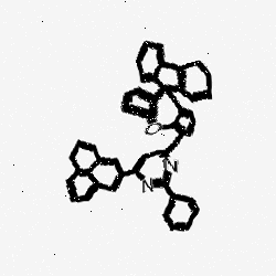 C1=CC2=C(CC1)c1ccccc1C21c2ccccc2Oc2c(-c3cc(-c4cc5c6c(cccc6c4)CC=C5)nc(-c4ccccc4)n3)cccc21